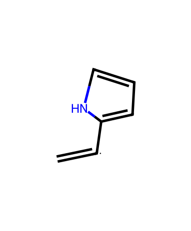 C=[C]c1ccc[nH]1